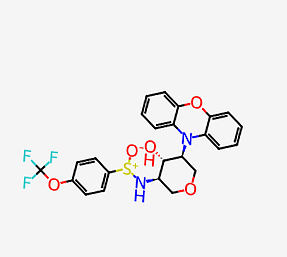 [O-][S+](N[C@@H]1COC[C@H](N2c3ccccc3Oc3ccccc32)[C@H]1O)c1ccc(OC(F)(F)F)cc1